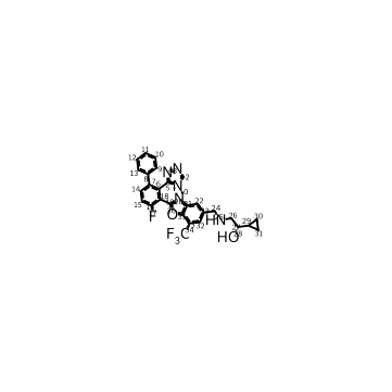 Cn1cnnc1-c1c(-c2ccccc2)ccc(F)c1-c1nc2cc(CNC[C@@H](O)C3CC3)cc(C(F)(F)F)c2o1